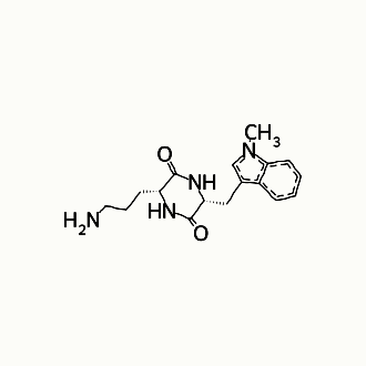 Cn1cc(C[C@H]2NC(=O)[C@@H](CCCN)NC2=O)c2ccccc21